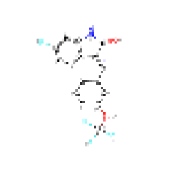 O=C1Nc2cc(F)ccc2/C1=C\c1cccc(OC(F)(F)F)c1